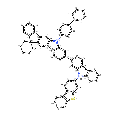 c1ccc(-c2ccc(-n3c4cc(-c5ccc6c7ccccc7n(-c7ccc8c(c7)sc7ccccc78)c6c5)ccc4c4cc5c(cc43)-c3ccccc3C53CCCCC3)cc2)cc1